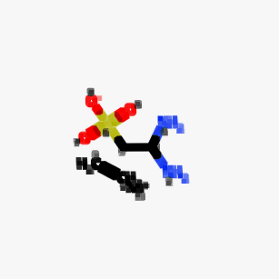 C=C.NC(N)CS(=O)(=O)[O-].[Na+]